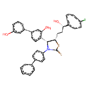 Oc1cccc(-c2ccc([C@@H]3[C@H](CC[C@H](O)c4ccc(F)cc4)SC(=S)N3c3ccc(-c4ccccc4)cc3)c(O)c2)c1